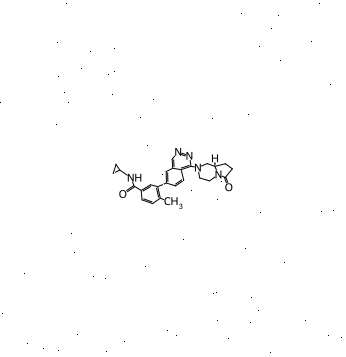 Cc1ccc(C(=O)NC2CC2)cc1-c1ccc2c(N3CCN4C(=O)CC[C@H]4C3)nncc2c1